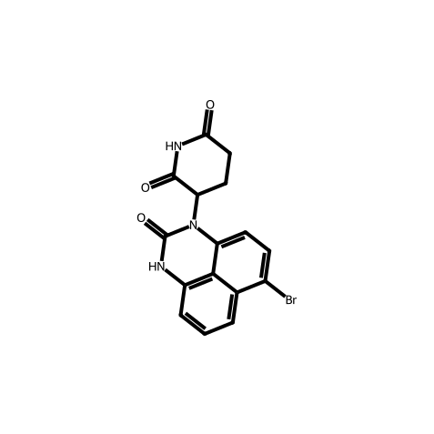 O=C1CCC(N2C(=O)Nc3cccc4c(Br)ccc2c34)C(=O)N1